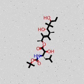 CC[C@H](O)C(C)(C)[C@@H](O)[C@@H](C)/C(C)=C(\C)[C@H](C)OC(=O)C(O)[C@H](CC(C)C)NC(=O)OC(C)(C)C